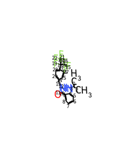 CC(C)Nc1ccccc1C(=O)NCc1ccc(C(F)(C(F)(F)F)C(F)(F)F)cc1